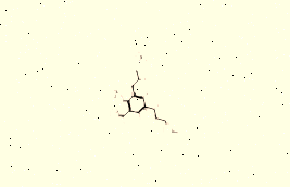 COCCCc1cc(C=O)c(OC)c(CCCOC)c1